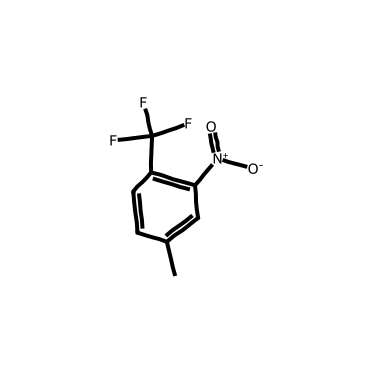 Cc1ccc(C(F)(F)F)c([N+](=O)[O-])c1